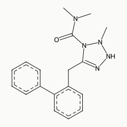 CN(C)C(=O)N1C(Cc2ccccc2-c2ccccc2)=NNN1C